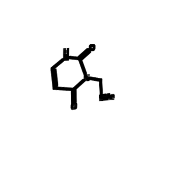 CSCn1c(=O)cc[nH]c1=O